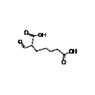 O=CC(CCCCC(=O)O)C(=O)O